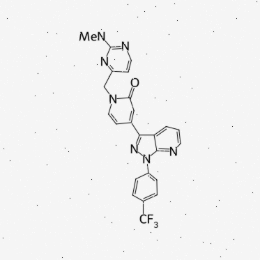 CNc1nccc(Cn2ccc(-c3nn(-c4ccc(C(F)(F)F)cc4)c4ncccc34)cc2=O)n1